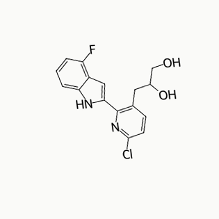 OCC(O)Cc1ccc(Cl)nc1-c1cc2c(F)cccc2[nH]1